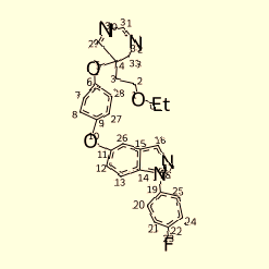 CCOCCC1(Oc2ccc(Oc3ccc4c(cnn4-c4ccc(F)cc4)c3)cc2)C=NC=NC1